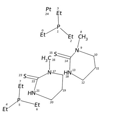 CCP(CC)CC.CCP(CC)CC.CN1CCCNC1=S.CN1CCCNC1=S.[Pt]